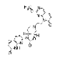 COc1ncc2ccc(=O)n(CCN3CC[C@@H]4[C@H](C3)OC(=O)N4c3ccc4c(n3)NC(=O)CO4)c2n1